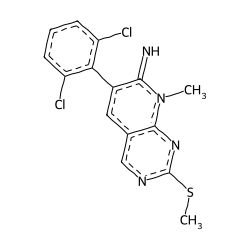 CSc1ncc2cc(-c3c(Cl)cccc3Cl)c(=N)n(C)c2n1